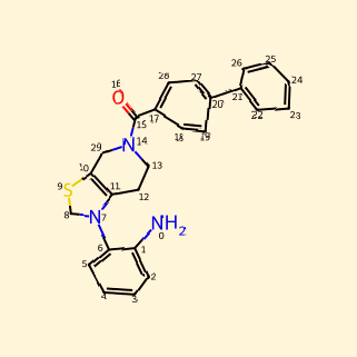 Nc1ccccc1N1CSC2=C1CCN(C(=O)c1ccc(-c3ccccc3)cc1)C2